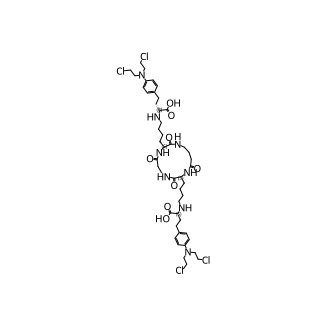 O=C1CCCNC(=O)[C@H](CCCCN[C@H](CCc2ccc(N(CCCl)CCCl)cc2)C(=O)O)NC(=O)CCNC(=O)[C@H](CCCCN[C@@H](CCc2ccc(N(CCCl)CCCl)cc2)C(=O)O)N1